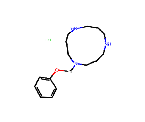 Cl.c1ccc([O][Ti][N]2CCCNCCCNCCC2)cc1